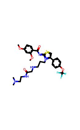 COc1ccc(C(=O)/N=c2\scc(-c3ccc(OC(F)(F)F)cc3)n2CCCNCC(=O)NCCN(C)C)c(OC)c1